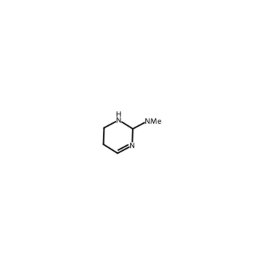 CNC1N=CCCN1